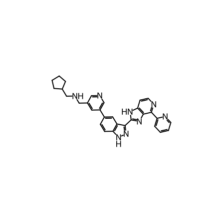 c1ccc(-c2nccc3[nH]c(-c4n[nH]c5ccc(-c6cncc(CNCC7CCCC7)c6)cc45)nc23)nc1